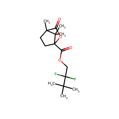 CC(C)(C)C(F)(F)COC(=O)C12CCC(C)(C(=O)O1)C2(C)C